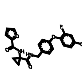 O=C(NC1(C(=O)NCc2ccc(Oc3ccc(Cl)cc3F)cc2)CC1)c1ccco1